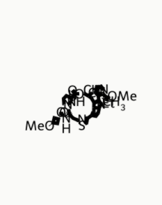 CCN1C(c2cccnc2[C@H](C)OC)=C2CC(C)(C)COC(=O)[C@@H]3CCCN(N3)C(=O)[C@@H](NC(=O)[C@H]3C[C@@H](OC)C3)Cc3nc(cs3)C3=CC2C1C=C3